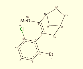 CCc1cccc(Cl)c1C1=C(OC)C2CCC(C1)C2